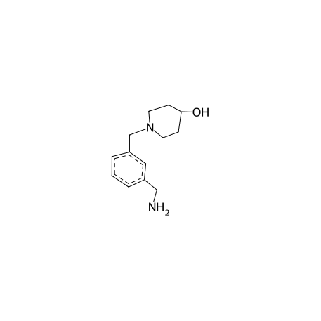 NCc1cccc(CN2CCC(O)CC2)c1